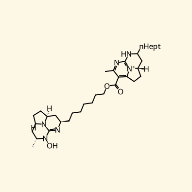 CCCCCCCC1C[C@@H]2CCc3c(C(=O)OCCCCCCC[C@@H]4C[C@@H]5CC[C@H]6C[C@@H](C)N(O)C(=N4)N56)c(C)nc([n+]32)N1